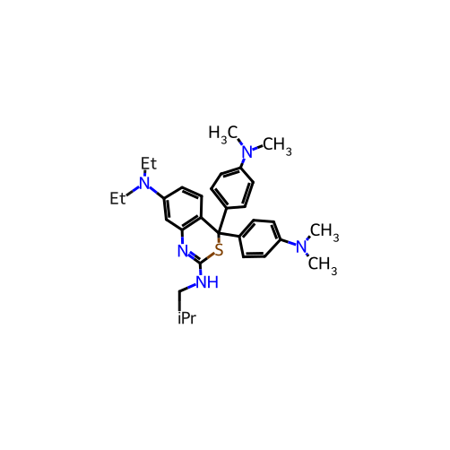 CCN(CC)c1ccc2c(c1)N=C(NCC(C)C)SC2(c1ccc(N(C)C)cc1)c1ccc(N(C)C)cc1